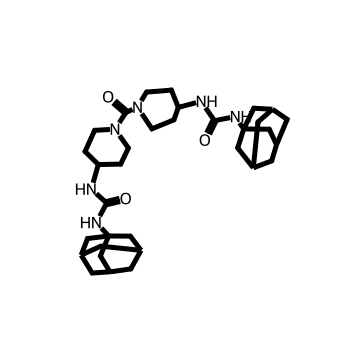 O=C(NC1CCN(C(=O)N2CCC(NC(=O)NC34CC5CC(CC(C5)C3)C4)CC2)CC1)NC12CC3CC(CC(C3)C1)C2